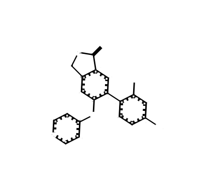 O=C1NCc2cc(Oc3ccncc3)c(-c3ccc(F)cc3F)cc21